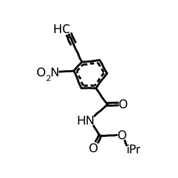 C#Cc1ccc(C(=O)NC(=O)OC(C)C)cc1[N+](=O)[O-]